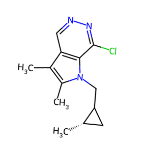 Cc1c(C)n(CC2C[C@@H]2C)c2c(Cl)nncc12